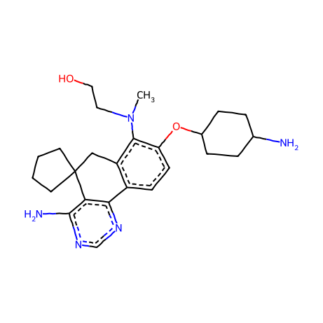 CN(CCO)c1c(OC2CCC(N)CC2)ccc2c1CC1(CCCC1)c1c(N)ncnc1-2